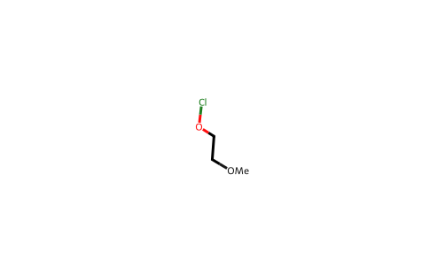 COCCOCl